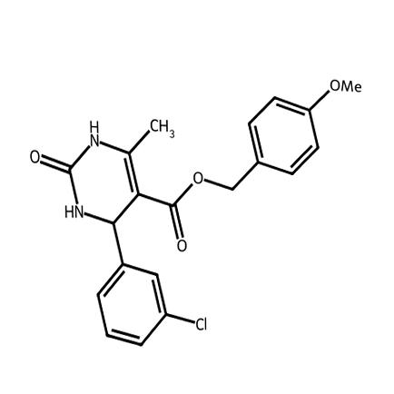 COc1ccc(COC(=O)C2=C(C)NC(=O)NC2c2cccc(Cl)c2)cc1